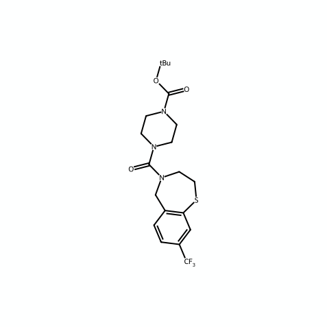 CC(C)(C)OC(=O)N1CCN(C(=O)N2CCSc3cc(C(F)(F)F)ccc3C2)CC1